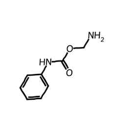 NCOC(=O)Nc1ccccc1